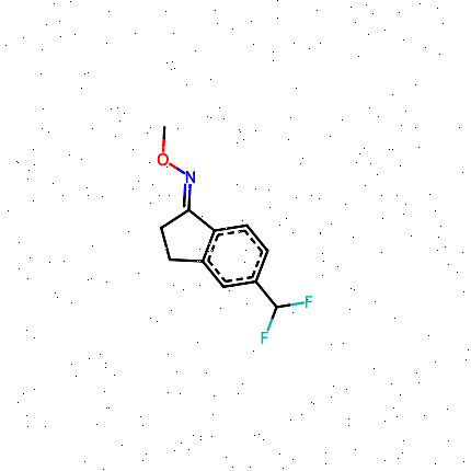 CON=C1CCc2cc(C(F)F)ccc21